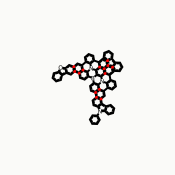 c1ccc(-c2cccc(-c3ccccc3)c2N2c3cc(-c4ccc5oc6ccccc6c5c4)ccc3B3c4ccc(-c5ccc6c(c5)c5ccccc5n6-c5ccccc5)cc4N(c4c(-c5ccccc5)cccc4-c4ccccc4)c4cc(-n5c6ccccc6c6ccccc65)cc2c43)cc1